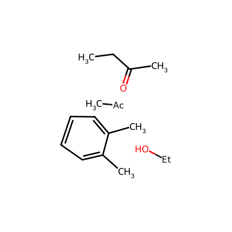 CC(C)=O.CCC(C)=O.CCO.Cc1ccccc1C